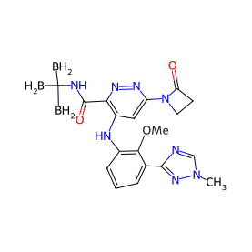 BC(B)(B)NC(=O)c1nnc(N2CCC2=O)cc1Nc1cccc(-c2ncn(C)n2)c1OC